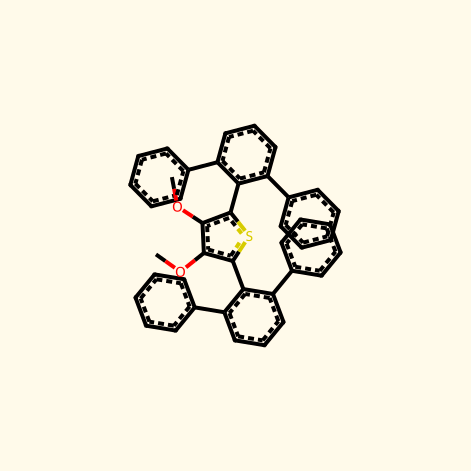 COc1c(-c2c(-c3ccccc3)cccc2-c2ccccc2)sc(-c2c(-c3ccccc3)cccc2-c2ccccc2)c1OC